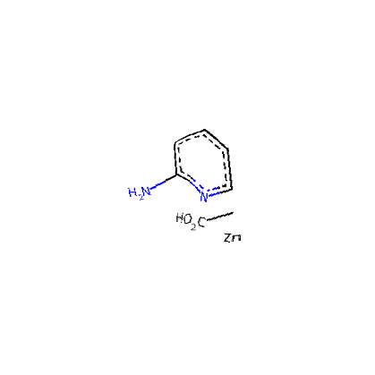 CC(=O)O.Nc1ccccn1.[Zn]